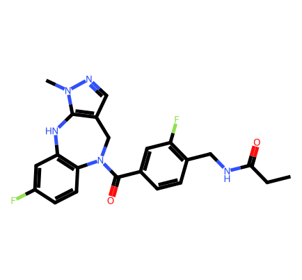 CCC(=O)NCc1ccc(C(=O)N2Cc3cnn(C)c3Nc3cc(F)ccc32)cc1F